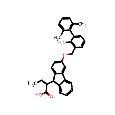 CCC(C(=O)O)C1c2ccccc2-c2cc(OCc3cccc(-c4c(C)cccc4C)c3C)ccc21